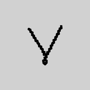 CCCCCC=CCC=CCCCCCCCCOCC(CCN1CCCCC1)OCCCCCCCCC=CCC=CCCCCC